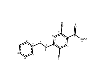 COC(=O)c1cc(F)c(NCc2ccccc2)cc1Br